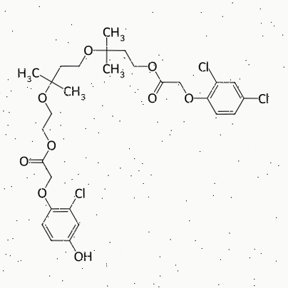 CC(C)(CCOC(=O)COc1ccc(Cl)cc1Cl)OCCC(C)(C)OCCOC(=O)COc1ccc(O)cc1Cl